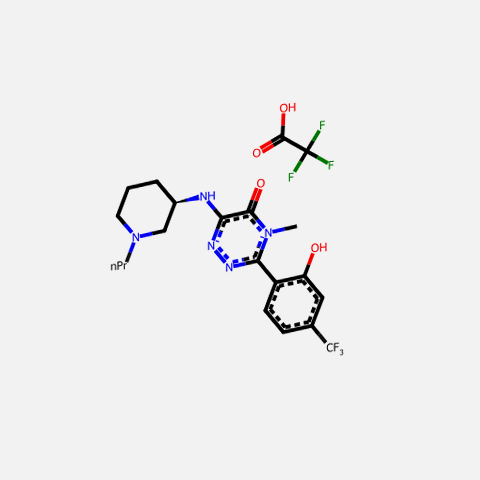 CCCN1CCC[C@@H](Nc2nnc(-c3ccc(C(F)(F)F)cc3O)n(C)c2=O)C1.O=C(O)C(F)(F)F